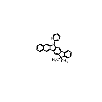 CC1(C)c2ccccc2-c2cc3c(cc21)c1cc2ccccc2cc1n3-c1ccccn1